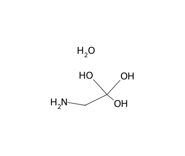 NCC(O)(O)O.O